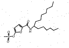 CCCCCCCC(CCCCCC)NC(=O)c1ccc(OS(C)(=O)=O)o1